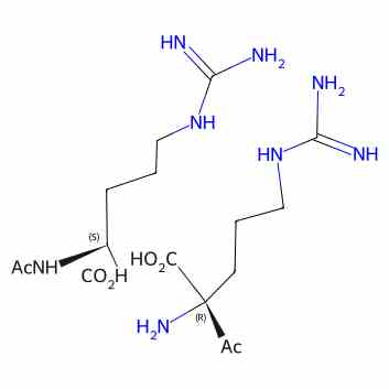 CC(=O)N[C@@H](CCCNC(=N)N)C(=O)O.CC(=O)[C@](N)(CCCNC(=N)N)C(=O)O